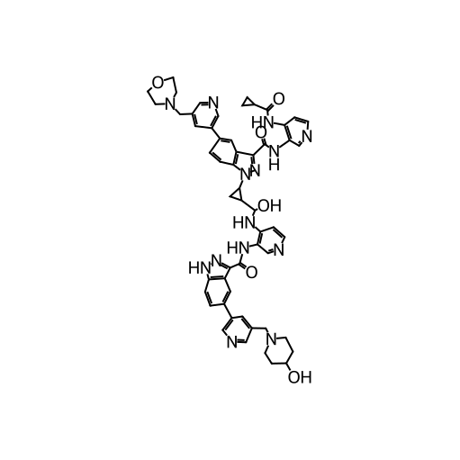 O=C(Nc1cnccc1NC(O)C1CC1n1nc(C(=O)Nc2cnccc2NC(=O)C2CC2)c2cc(-c3cncc(CN4CCOCC4)c3)ccc21)c1n[nH]c2ccc(-c3cncc(CN4CCC(O)CC4)c3)cc12